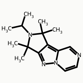 CC(C)N1C(C)(C)c2nn3ccncc3c2C1(C)C